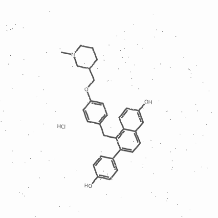 CN1CCCC(COc2ccc(Cc3c(-c4ccc(O)cc4)ccc4cc(O)ccc34)cc2)C1.Cl